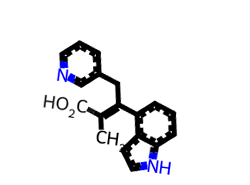 CC(C(=O)O)=C(Cc1cccnc1)c1cccc2[nH]ccc12